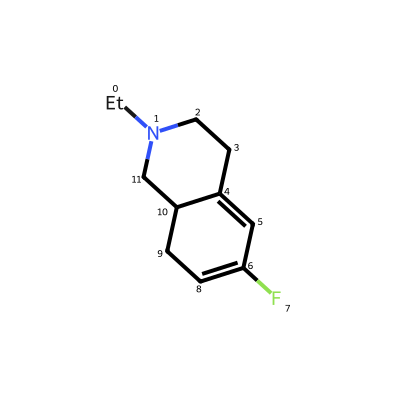 CCN1CCC2=CC(F)=CCC2C1